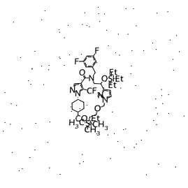 CCOC(=O)[C@H]1CC[C@H](n2ncc(C(=O)N(Cc3cc(F)cc(F)c3)CC(O[Si](CC)(CC)CC)c3ccn(COCC[Si](C)(C)C)n3)c2C(F)(F)F)CC1